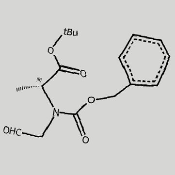 C[C@H](C(=O)OC(C)(C)C)N(CC=O)C(=O)OCc1ccccc1